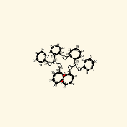 c1ccc(OP(Oc2ccccc2)c2ccccc2Oc2ccccc2P(Oc2ccccc2)Oc2ccccc2)cc1